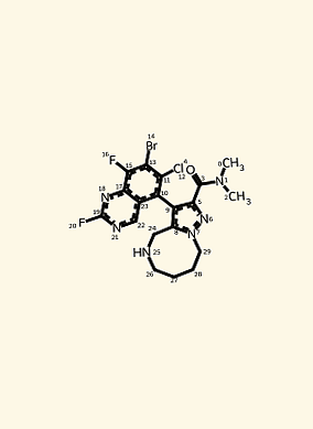 CN(C)C(=O)c1nn2c(c1-c1c(Cl)c(Br)c(F)c3nc(F)ncc13)CNCCCC2